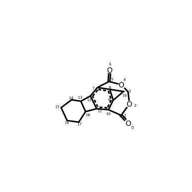 O=C1OCOC(=O)c2c3c(c1c1c2C2CCCCC12)C3